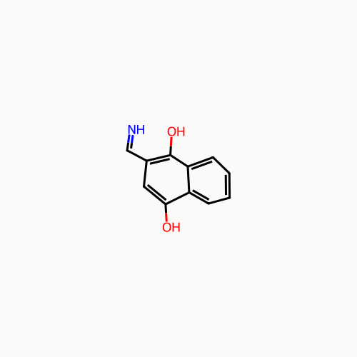 N=Cc1cc(O)c2ccccc2c1O